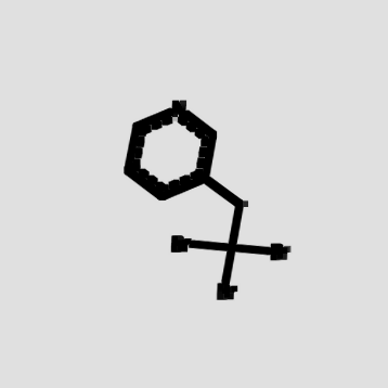 BrC(Br)(Br)[CH]c1cccnc1